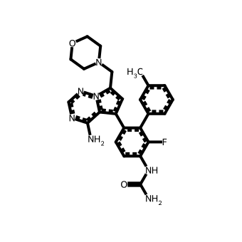 Cc1cccc(-c2c(-c3cc(CN4CCOCC4)n4ncnc(N)c34)ccc(NC(N)=O)c2F)c1